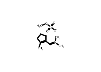 CC1=C(C=[N+](C)C)CCC1.COS(=O)(=O)[O-]